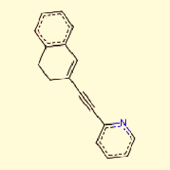 C(#Cc1ccccn1)C1=Cc2ccccc2CC1